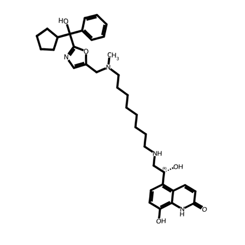 CN(CCCCCCCCNC[C@H](O)c1ccc(O)c2[nH]c(=O)ccc12)Cc1cnc(C(O)(c2ccccc2)C2CCCC2)o1